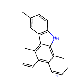 C=Cc1c(/C=C\C)c(C)c2[nH]c3ccc(C)cc3c2c1C